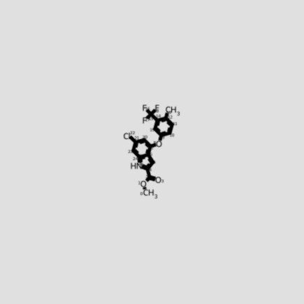 COC(=O)c1cc2c(Oc3ccc(C)c(C(F)(F)F)c3)cc(Cl)cc2[nH]1